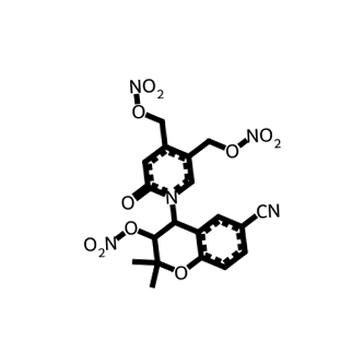 CC1(C)Oc2ccc(C#N)cc2C(n2cc(CO[N+](=O)[O-])c(CO[N+](=O)[O-])cc2=O)C1O[N+](=O)[O-]